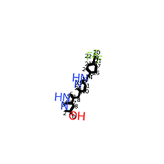 Oc1cnc2[nH]cc(Cc3ccc(NCc4ccc(C(F)(F)F)cc4)nc3)c2c1